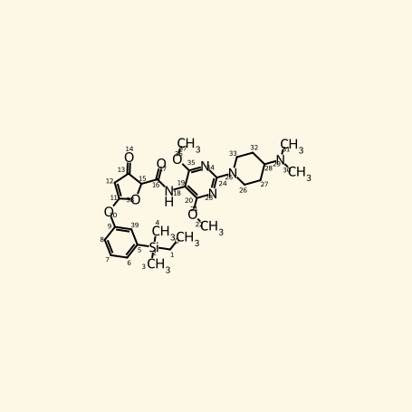 CC[Si](C)(C)c1cccc(OC2=CC(=O)C(C(=O)Nc3c(OC)nc(N4CCC(N(C)C)CC4)nc3OC)O2)c1